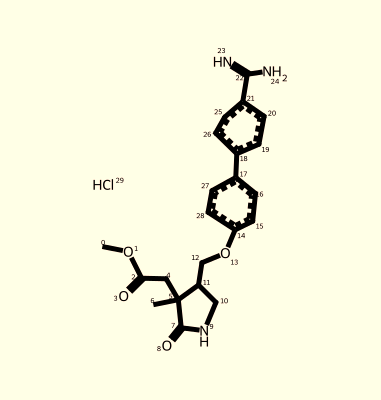 COC(=O)CC1(C)C(=O)NCC1COc1ccc(-c2ccc(C(=N)N)cc2)cc1.Cl